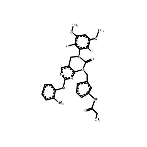 CCC(=O)Nc1cccc(CN2C(=O)N(c3c(Cl)c(OC)cc(OC)c3Cl)Cc3cnc(Nc4ccccc4N)nc32)c1